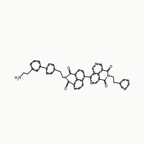 NCCc1cccc(-c2ccc(CCN3C(=O)c4cccc5c(-c6ncc7c8c(cncc68)C(=O)N(CCc6ccccc6)C7=O)ccc(c45)C3=O)cc2)c1